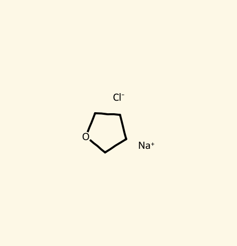 C1CCOC1.[Cl-].[Na+]